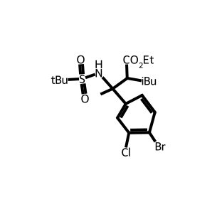 CCOC(=O)C(C(C)CC)C(C)(NS(=O)(=O)C(C)(C)C)c1ccc(Br)c(Cl)c1